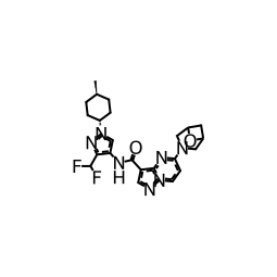 C[C@H]1CC[C@H](n2cc(NC(=O)c3cnn4ccc(N5CC6CC(C5)O6)nc34)c(C(F)F)n2)CC1